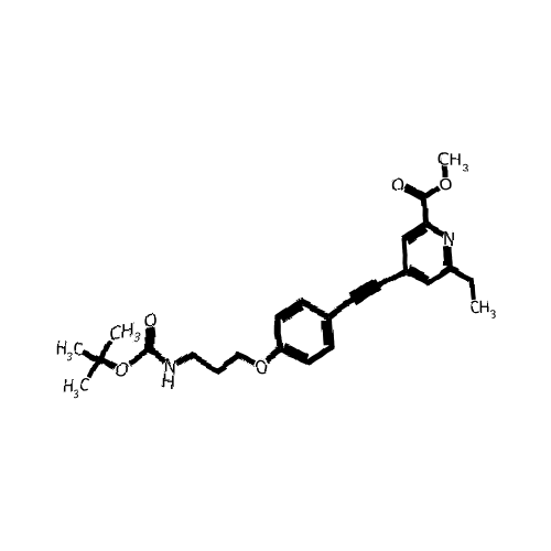 CCc1cc(C#Cc2ccc(OCCCNC(=O)OC(C)(C)C)cc2)cc(C(=O)OC)n1